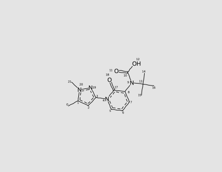 Cc1cc(-n2cccc(N(C(=O)O)C(C)(C)C)c2=O)nn1C